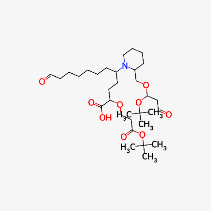 CC(C)(C)OC(=O)CCOC(CCC(CCCCCCC=O)N1CCCCC1COC(CC=O)OC(C)(C)C)C(=O)O